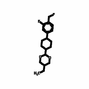 CCC1COC(C2CCC(c3ccc(CF)c(F)c3)CC2)OC1